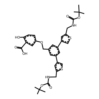 CC(C)(C)OC(=O)NCc1cc(-c2cc(COc3ccc(O)c(C(=O)O)c3)cc(-c3csc(CNC(=O)OC(C)(C)C)c3)c2)cs1